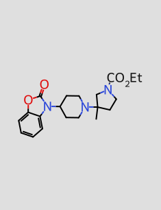 CCOC(=O)N1CCC(C)(N2CCC(n3c(=O)oc4ccccc43)CC2)C1